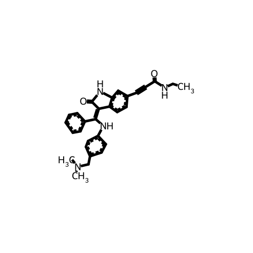 CCNC(=O)C#Cc1ccc2c(c1)NC(=O)C2=C(Nc1ccc(CN(C)C)cc1)c1ccccc1